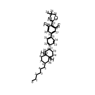 CCCCCCC1CC[C@@H]2C[C@H](c3ccc(-c4cc(F)c(C5=NC(C)(C)CO5)c(F)c4)cc3)CC[C@@H]2C1